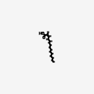 CCCCCCCCCCC[CH]C=C(C)C(=O)O